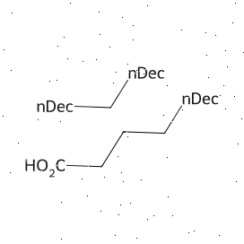 CCCCCCCCCCCCCC(=O)O.CCCCCCCCCCCCCCCCCCCCC